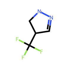 FC(F)(F)C1C=N[N]C1